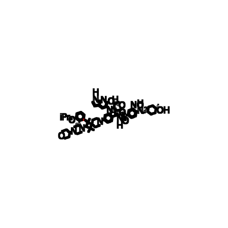 CC(C)Oc1ccccc1[C@H]1CN(C2CCOCC2)CCN1C1C(C)(C)C2(CCN(c3ccc(C(=O)NS(=O)(=O)c4ccc(NC[C@H]5CC[C@](C)(O)CC5)c([N+](=O)[O-])c4)c(N4c5cc6cc[nH]c6nc5O[C@H]5COCC[C@@H]54)c3)CC2)C1(C)C